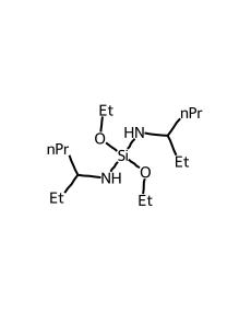 CCCC(CC)N[Si](NC(CC)CCC)(OCC)OCC